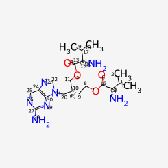 CC(C)[C@H](N)C(=O)OCC[C@@H](COC(=O)[C@@H](N)C(C)C)Cn1cnc2cnc(N)nc21